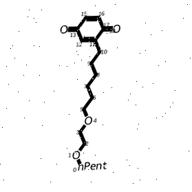 CCCCCOCCOCCCCCCC1=CC(=O)C=CC1=O